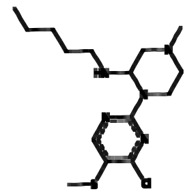 CCCCCNC1CN(C)CCN1c1ncc(SC)c(Cl)n1